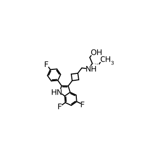 CC[C@@H](CO)NCC1CC(c2c(-c3ccc(F)cc3)[nH]c3c(F)cc(F)cc23)C1